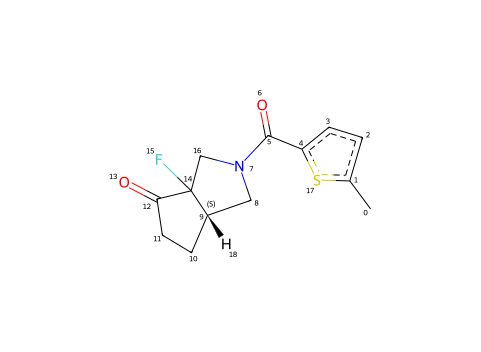 Cc1ccc(C(=O)N2C[C@@H]3CCC(=O)C3(F)C2)s1